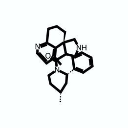 Cc1ccnc2c1[C@]1(CCC2)CNCC1C(=O)N1CC[C@@H](C)C[C@H]1c1ccccc1